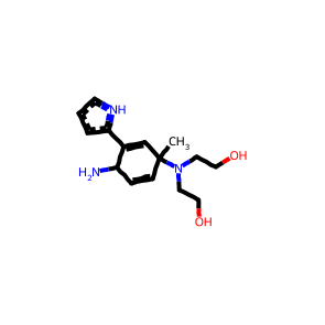 CC1(N(CCO)CCO)C=CC(N)C(c2ccc[nH]2)=C1